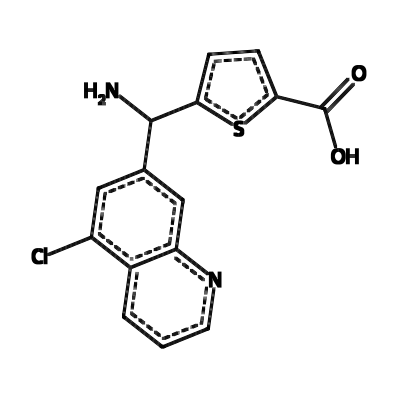 NC(c1cc(Cl)c2cccnc2c1)c1ccc(C(=O)O)s1